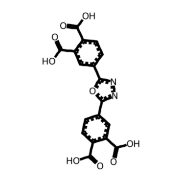 O=C(O)c1ccc(-c2nnc(-c3ccc(C(=O)O)c(C(=O)O)c3)o2)cc1C(=O)O